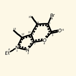 CCn1nc2oc(=O)c(Br)c(C)c2c1C